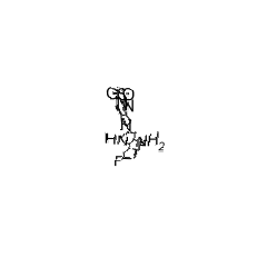 CS(=O)(=O)n1cc2c(n1)CN(C1CN[C@H](C3CC(F)=CC=C3F)C(N)C1)C2